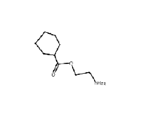 CCCCCCCCOC(=O)C1CCCCC1